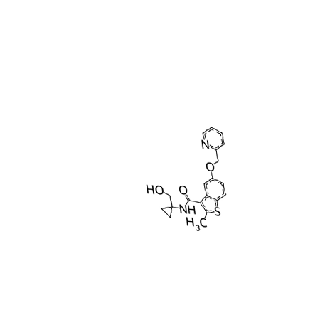 Cc1sc2ccc(OCc3ccccn3)cc2c1C(=O)NC1(CO)CC1